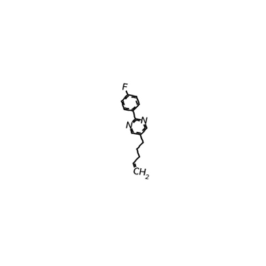 C=CCCCc1cnc(-c2ccc(F)cc2)nc1